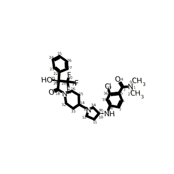 CN(C)C(=O)c1ccc(N[C@@H]2CCN(C3CCN(C(=O)[C@](O)(c4ccccc4)C(F)(F)F)CC3)C2)cc1Cl